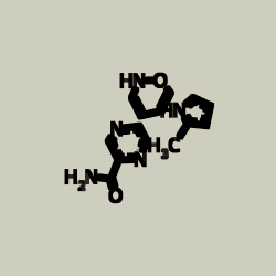 C1=CNOC=C1.Cc1ccc[nH]1.NC(=O)c1cnccn1